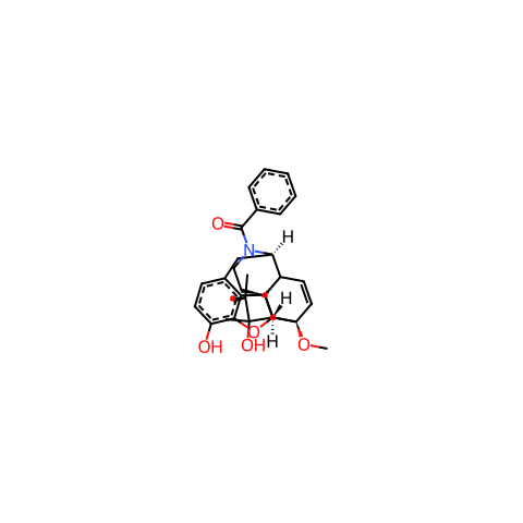 CO[C@]12C=C[C@@]3(C[C@@H]1C(C)(O)C(C)(C)C)[C@H]1Cc4ccc(O)c5c4[C@@]3(CCN1C(=O)c1ccccc1)[C@H]2O5